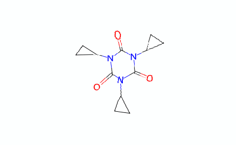 O=c1n(C2CC2)c(=O)n(C2CC2)c(=O)n1C1CC1